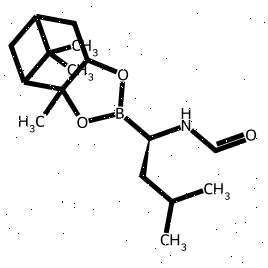 CC(C)C[C@H](NC=O)B1OC2CC3CC(C3(C)C)C2(C)O1